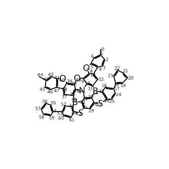 Cc1ccc2c(c1)oc1c3c4c(cc12)B1c2cc(-c5ccccc5)ccc2Sc2cc5c6c(c21)N4c1c(cc2c(oc4cc(C)ccc42)c1O3)B6c1cc(-c2ccccc2)ccc1S5